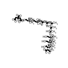 CC(=O)O.CC(=O)O.CC(=O)O.CC(=O)O.CC(=O)O.C[N+](C)(C)CCO.C[N+](C)(C)CCO.C[N+](C)(C)CCO.C[N+](C)(C)CCO.C[N+](C)(C)CCO.O=C([O-])CC(=O)[O-].O=C([O-])CC(O)(CC(=O)[O-])C(=O)[O-]